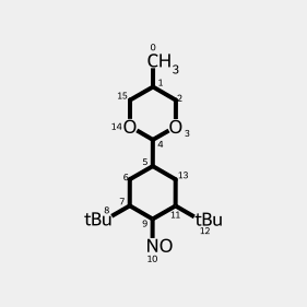 CC1COC(C2CC(C(C)(C)C)C(N=O)C(C(C)(C)C)C2)OC1